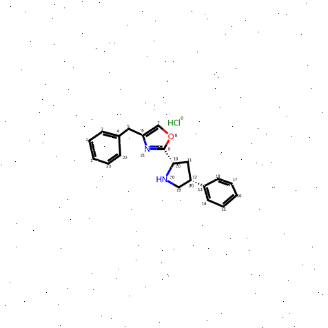 Cl.c1ccc(Cc2coc([C@@H]3C[C@H](c4ccccc4)CN3)n2)cc1